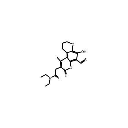 CCN(CC)C(=O)Cc1c(C)c2c3c(c(O)c(C=O)c2oc1=O)OCCC3